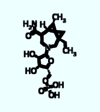 CC[C@@]12CN(C3O[C@H](COP(=O)(O)O)[C@@H](O)[C@H]3O)CC(C(N)=O)[C@H]3[C@H](C)C31C2